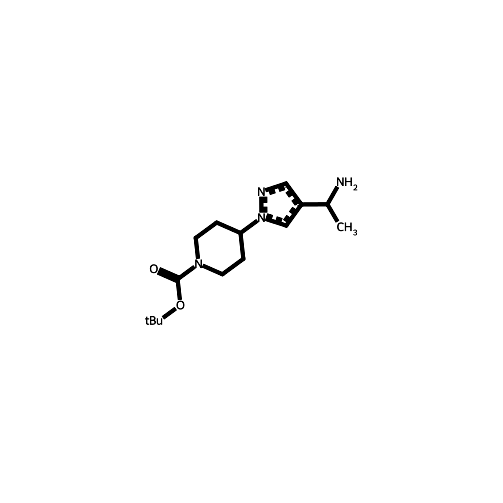 CC(N)c1cnn(C2CCN(C(=O)OC(C)(C)C)CC2)c1